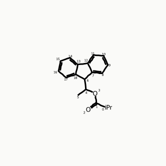 CC(C)C(=O)OC(C)C1c2ccccc2-c2ccccc21